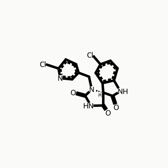 O=C1NC(=O)[C@@]2(C(=O)Nc3ccc(Cl)cc32)N1Cc1ccc(Cl)nc1